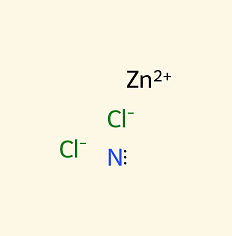 [Cl-].[Cl-].[N].[Zn+2]